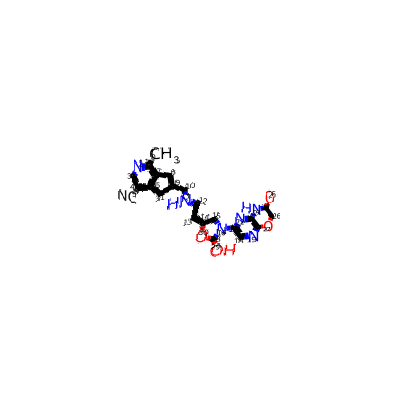 Cc1ncc(C#N)c2c1CC(CNCCC1CN(c3cnc4c(n3)NC(=O)CO4)C(O)O1)C2